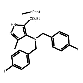 CCCCCC.CCOC(=O)c1[nH]nc(C)c1N(Cc1ccc(F)cc1)Cc1ccc(F)cc1